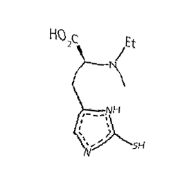 CCN(C)[C@@H](Cc1cnc(S)[nH]1)C(=O)O